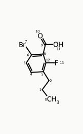 CCCc1ccc(Br)c(C(=O)O)c1F